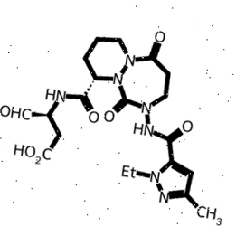 CCn1nc(C)cc1C(=O)NN1CCC(=O)N2CCC[C@@H](C(=O)N[C@H](C=O)CC(=O)O)N2C1=O